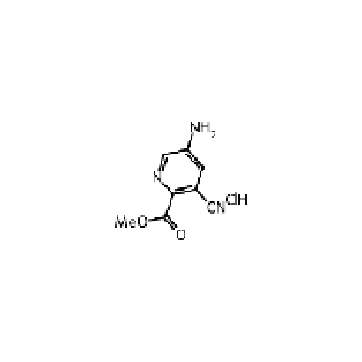 COC(=O)c1ncc(N)cc1C#N.Cl